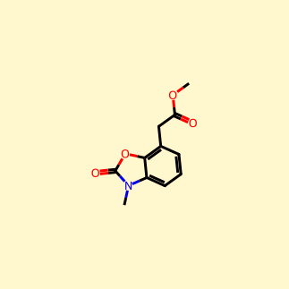 COC(=O)Cc1cccc2c1oc(=O)n2C